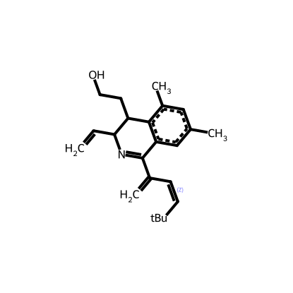 C=CC1N=C(C(=C)/C=C\C(C)(C)C)c2cc(C)cc(C)c2C1CCO